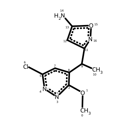 COc1nnc(Cl)cc1C(C)c1cc(N)on1